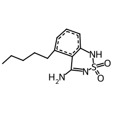 CCCCCc1cccc2c1C(N)=NS(=O)(=O)N2